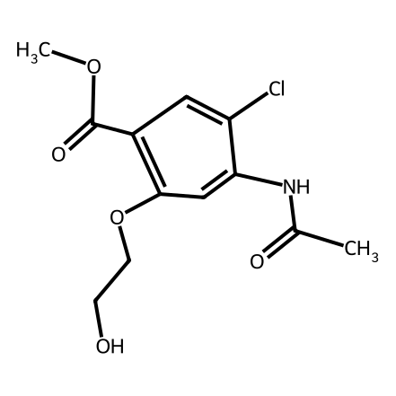 COC(=O)c1cc(Cl)c(NC(C)=O)cc1OCCO